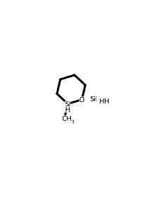 C[SiH]1CCCCO1.[HH].[Si]